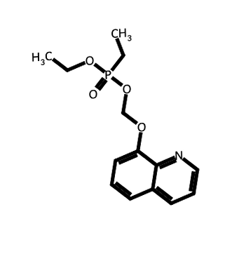 CCOP(=O)(CC)OCOc1cccc2cccnc12